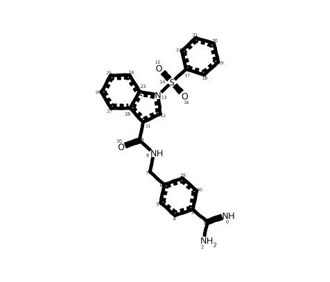 N=C(N)c1ccc(CNC(=O)c2cn(S(=O)(=O)c3ccccc3)c3ccccc23)cc1